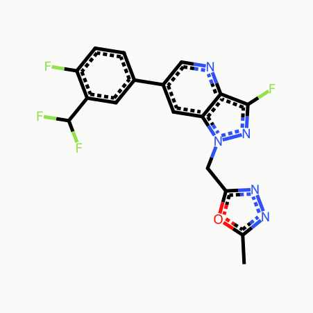 Cc1nnc(Cn2nc(F)c3ncc(-c4ccc(F)c(C(F)F)c4)cc32)o1